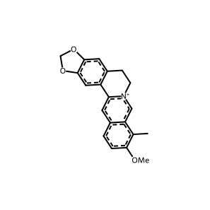 COc1ccc2cc3[n+](cc2c1C)CCc1cc2c(cc1-3)OCO2